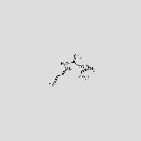 C=C(C)C(=O)OCC.C=CC(=O)O.C=CC=C